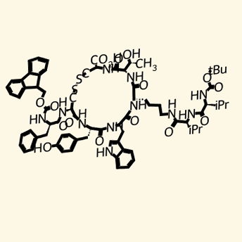 CC(C)[C@H](NC(=O)OC(C)(C)C)C(=O)N[C@H](C(=O)NCCCC[C@@H]1NC(=O)[C@@H](Cc2c[nH]c3ccccc23)NC(=O)[C@H](Cc2ccc(O)cc2)NC(=O)[C@@H](NC(=O)[C@@H](Cc2ccccc2)NC(=O)OCC2c3ccccc3-c3ccccc32)CSSC[C@@H](C(=O)O)NC(=O)[C@H]([C@@H](C)O)NC1=O)C(C)C